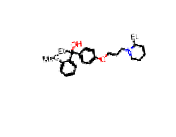 CCC1CCCCN1CCCOc1ccc(C(O)(CC)c2ccccc2OC)cc1